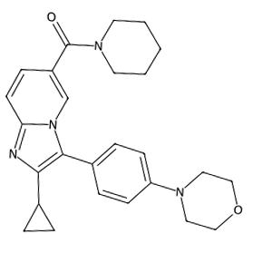 O=C(c1ccc2nc(C3CC3)c(-c3ccc(N4CCOCC4)cc3)n2c1)N1CCCCC1